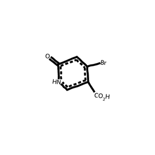 O=C(O)c1c[nH]c(=O)cc1Br